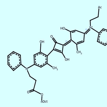 CCCCCCCCOC(=O)CCN(c1ccccc1)c1cc(C)c(C2=C(O)/C(=C3C(C)=C/C(=[N+](/CCC(C)=O)c4ccccc4)C=C\3O)C2=O)c(O)c1